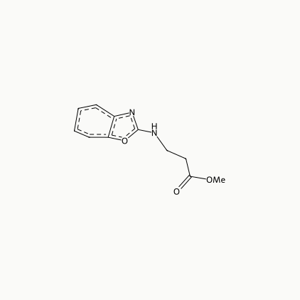 COC(=O)CCNc1nc2ccccc2o1